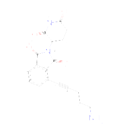 NCCCC#Cc1cccc2c1C(=O)N(C1CCC(=O)NC1=O)C2=O